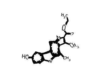 CCOC(=O)C1=C(C)c2c(C)c3c(cc2=N1)-c1cc(O)ccc1N=3